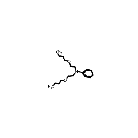 CCCCOCCN(CCOCCCC)c1ccccc1